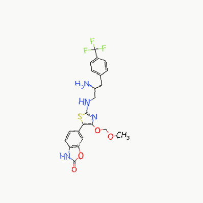 COCOc1nc(NC[C@@H](N)Cc2ccc(C(F)(F)F)cc2)sc1-c1ccc2[nH]c(=O)oc2c1